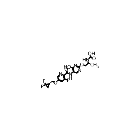 C[C@@H](COc1ncc(NC(=O)c2ncc(OC[C@H]3CC3(F)F)cc2F)c(O)n1)NC(=O)O